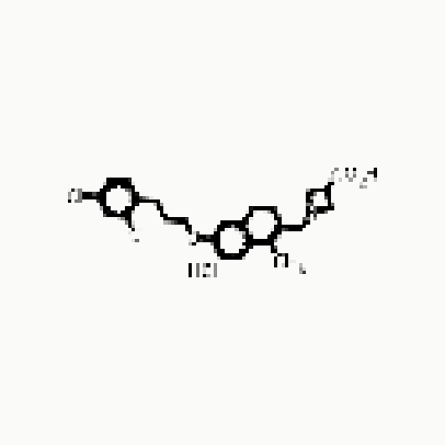 CC1=C(CN2CC(C(=O)O)C2)CCc2cc(OCCCc3ccc(Cl)cc3Cl)ccc21.Cl